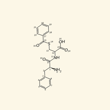 N[C@@H](Cc1ccccc1)C(=O)NC(CSC(=O)c1ccccc1)C(=O)O